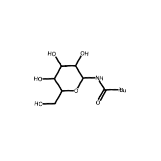 CCC(C)C(=O)NC1OC(CO)C(O)C(O)C1O